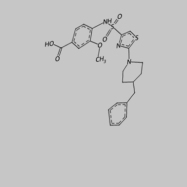 COc1cc(C(=O)O)ccc1NS(=O)(=O)c1csc(N2CCC(Cc3ccccc3)CC2)n1